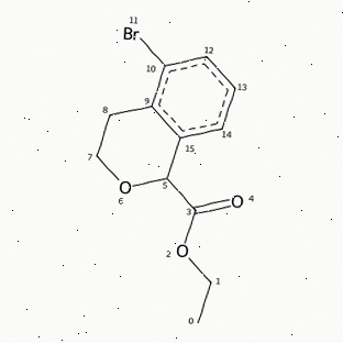 CCOC(=O)C1OCCc2c(Br)cccc21